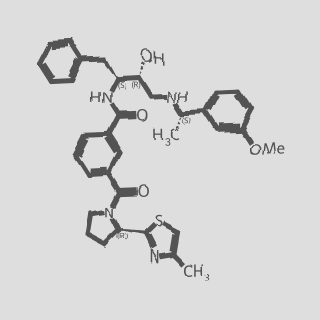 COc1cccc([C@H](C)NC[C@@H](O)[C@H](Cc2ccccc2)NC(=O)c2cccc(C(=O)N3CCC[C@@H]3c3nc(C)cs3)c2)c1